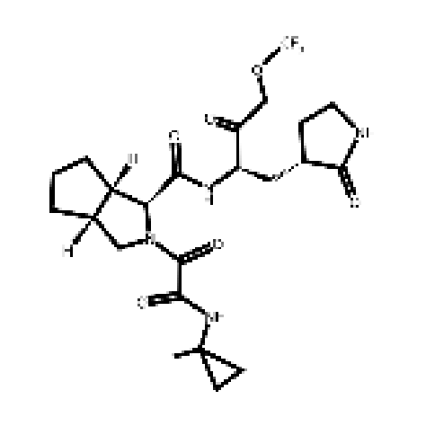 CC1(NC(=O)C(=O)N2C[C@@H]3CCC[C@@H]3[C@H]2C(=O)N[C@H](C[C@@H]2CCNC2=O)C(=O)COC(F)(F)F)CC1